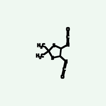 CC1(C)SC(N=C=O)C(N=C=O)S1